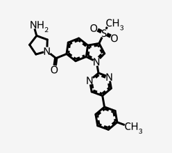 Cc1cccc(-c2cnc(-n3cc(S(C)(=O)=O)c4ccc(C(=O)N5CCC(N)C5)cc43)nc2)c1